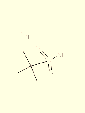 CC(C)(C)S(N)(=O)=O.[N].[N]